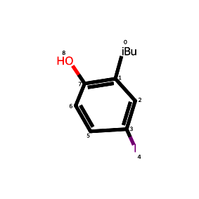 CCC(C)c1cc(I)ccc1O